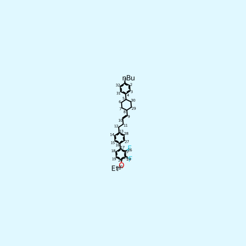 CCCCc1ccc(C2CCC(/C=C/CCc3ccc(-c4ccc(OCC)c(F)c4F)cc3)CC2)cc1